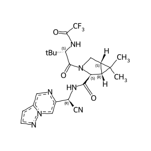 CC(C)(C)[C@H](NC(=O)C(F)(F)F)C(=O)N1C[C@H]2[C@@H]([C@H]1C(=O)N[C@@H](C#N)c1cn3nccc3cn1)C2(C)C